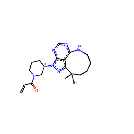 C=CC(=O)N1CCC[C@@H](n2nc3c4c(ncnc42)NCCCCC3(C)CC)C1